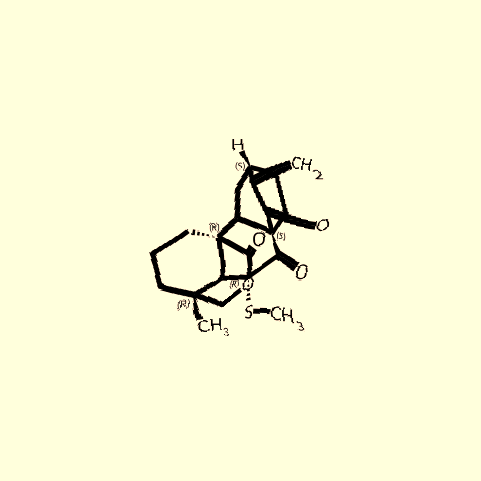 C=C1C(=O)[C@]23CC[C@H]1CC2[C@@]12CCC[C@@](C)(COC1=O)C2[C@@H](SC)C3=O